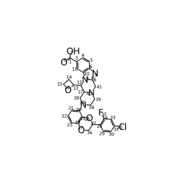 O=C(O)c1ccc2nc3n(c2c1)C(C1CCO1)C1CN(c2cccc4c2OC(c2ccc(Cl)cc2F)CO4)CCN1C3